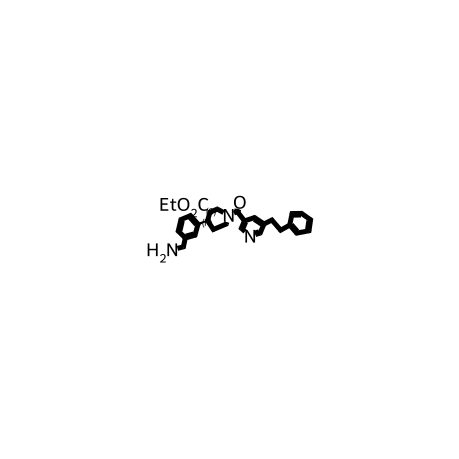 CCOC(=O)[C@@H]1CN(C(=O)c2cncc(CCc3ccccc3)c2)CC[C@H]1c1cccc(CN)c1